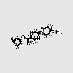 Cc1cc(Oc2n[nH]c3nc(N4CCC(C)(N)CC4)cnc23)ccn1